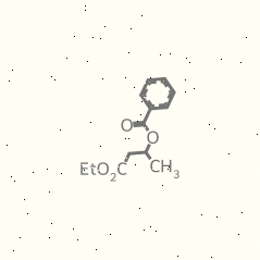 CCOC(=O)CC(C)OC(=O)c1ccccc1